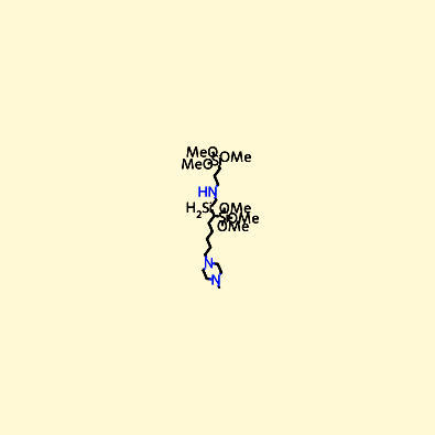 CO[Si](CCCNC[SiH2]C(CCCCCN1CCN(C)CC1)[Si](OC)(OC)OC)(OC)OC